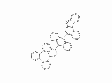 c1ccc2c(c1)-c1ccccc1-c1ccc(-c3c4ccccc4c(-c4cc5sc6ccccc6c5c5ccccc45)c4ccccc34)c3cccc-2c13